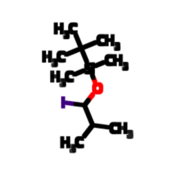 CC(C)C(I)O[Si](C)(C)C(C)(C)C